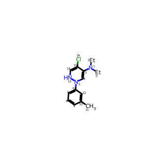 CCN(CC)C1=CN(c2cccc(C)c2)NC=C1Cl